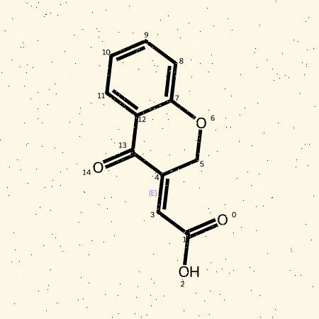 O=C(O)/C=C1\COc2ccccc2C1=O